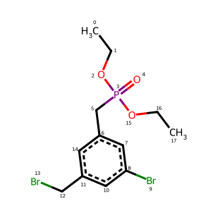 CCOP(=O)(Cc1cc(Br)cc(CBr)c1)OCC